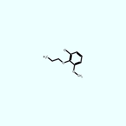 CCCOc1c(Cl)cccc1OC